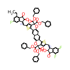 C=Cc1cc(F)cc2c1C(=O)C(=O)/C2=C\c1cc2c(s1)C1=CC3C=C4OC(C(=O)OCc5ccccc5)(C(=O)OCc5ccccc5)c5cc(/C=C6/c7cc(F)cc(F)c7C(=O)C6O)sc5C4=CC3C=C1OC2(C(=O)OCc1ccccc1)C(=O)OCc1ccccc1